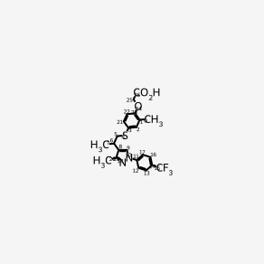 Cc1cc(SCC(C)c2cn(-c3ccc(C(F)(F)F)cc3)nc2C)ccc1OCC(=O)O